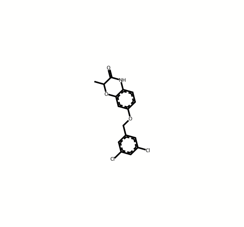 CC1Oc2cc(OCc3cc(Cl)cc(Cl)c3)ccc2NC1=O